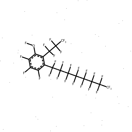 FOc1c(F)c(F)c(F)c(C(F)(F)C(F)(F)C(F)(F)C(F)(F)C(F)(F)C(F)(F)C(F)(F)C(F)(F)F)c1C(F)(F)C(F)(F)C(F)(F)F